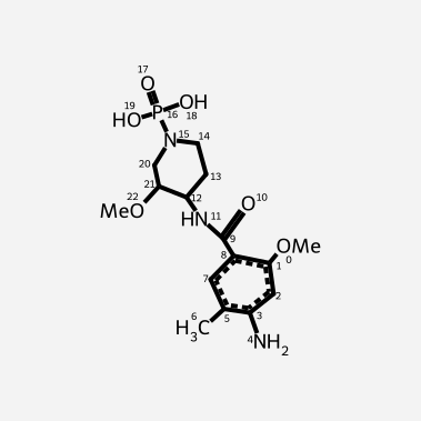 COc1cc(N)c(C)cc1C(=O)NC1CCN(P(=O)(O)O)CC1OC